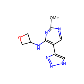 COc1ncc(-c2c[nH]nn2)c(NC2COC2)n1